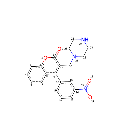 O=c1oc2ccccc2c(-c2cccc([N+](=O)[O-])c2)c1CN1CCNCC1